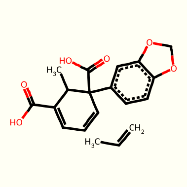 C=CC.CC1C(C(=O)O)=CC=CC1(C(=O)O)c1ccc2c(c1)OCO2